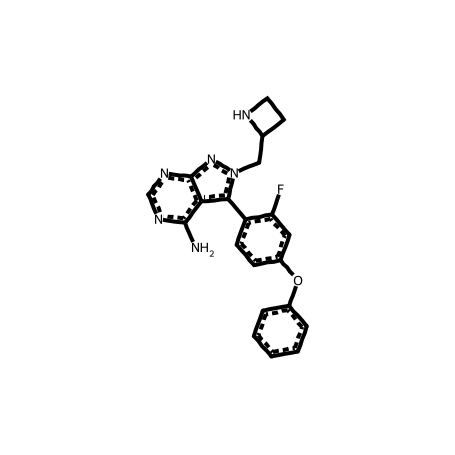 Nc1ncnc2nn(CC3CCN3)c(-c3ccc(Oc4ccccc4)cc3F)c12